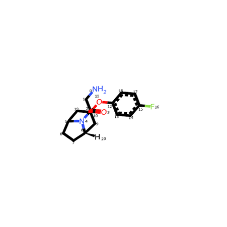 NCC(=O)N1C2CC[C@H]1CC(Oc1ccc(F)cc1)C2